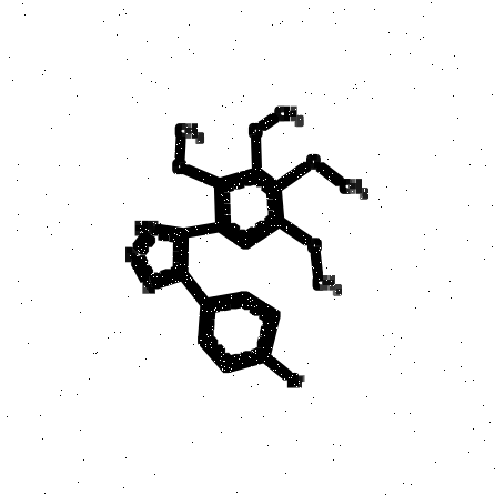 COc1cc(-c2[nH]nnc2-c2ccc(Br)cc2)c(OC)c(OC)c1OC